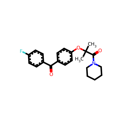 CC(C)(Oc1ccc(C(=O)c2ccc(F)cc2)cc1)C(=O)N1CCCCC1